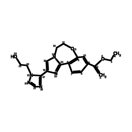 C=C(OCC)c1ccc2c(c1)OCCn1cc(-c3ncnn3CCO)nc1-2